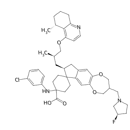 C[C@@H](COc1ccnc2c1[C@H](C)CCC2)C[C@H]1Cc2cc3c(cc2C12CCC(Nc1cccc(Cl)c1)(C(=O)O)CC2)OCC(CN1CC[C@@H](F)C1)CO3